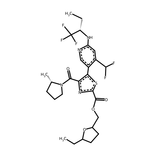 CCC1CCC(COC(=O)c2nc(C(=O)N3CCC[C@@H]3C)c(-c3cnc(N[C@@H](CC)C(F)(F)F)cc3C(F)F)s2)O1